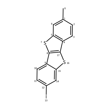 Cc1ccc2c(c1)sc1c3ccc(I)cc3sc21